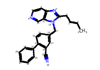 CCCCc1nc2ccncc2n1Cc1ccc(-c2ccccc2)c(C#N)c1